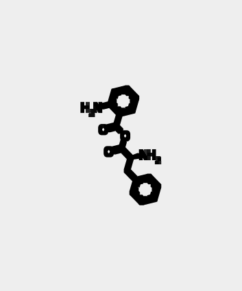 Nc1ccccc1C(=O)OC(=O)[C@@H](N)Cc1ccccc1